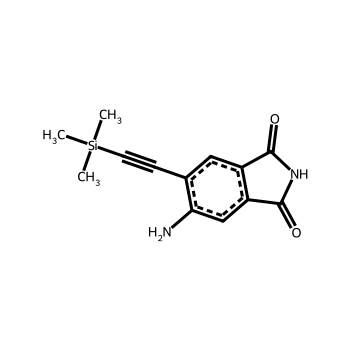 C[Si](C)(C)C#Cc1cc2c(cc1N)C(=O)NC2=O